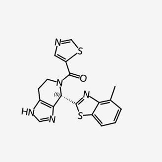 Cc1cccc2sc([C@@H]3c4nc[nH]c4CCN3C(=O)c3cncs3)nc12